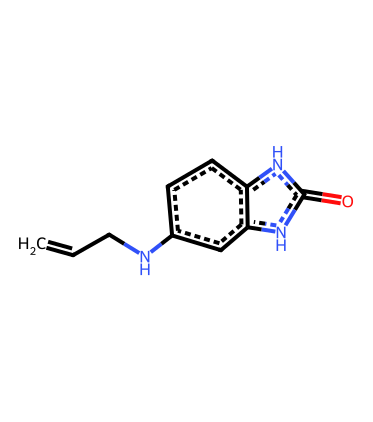 C=CCNc1ccc2[nH]c(=O)[nH]c2c1